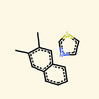 Cc1cc2ccccc2cc1C.c1cscn1